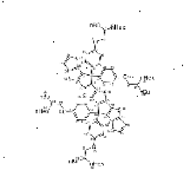 CCCCCCC(CCCC)COc1ccc(C2(c3ccc(OCC(CCCC)CCCCCC)cc3)c3c(sc4ccsc34)-c3sc4c5c(sc4c32)-c2sc3ccsc3c2C5(c2ccc(OCC(CCCC)CCCCCC)cc2)c2ccc(OCC(CCCC)CCCCCC)cc2)cc1